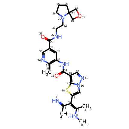 CN/C(C)=C(\C(C)=N)c1cn2ncc(C(=O)Nc3cc(C(=O)NCCN4CCCC45COC5)cnc3C)c2s1